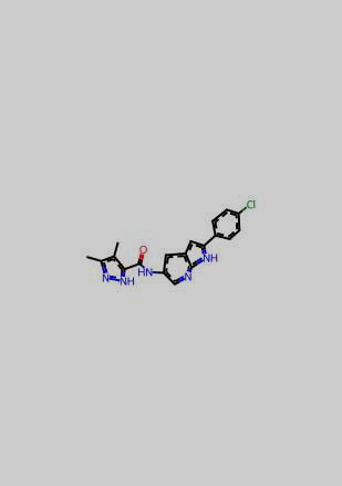 Cc1n[nH]c(C(=O)Nc2cnc3[nH]c(-c4ccc(Cl)cc4)cc3c2)c1C